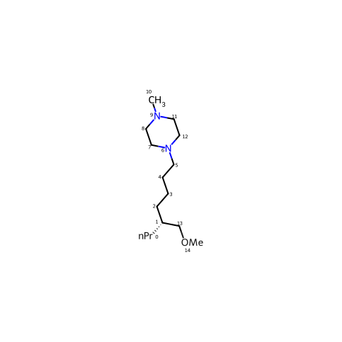 CCC[C@H](CCCCN1CCN(C)CC1)COC